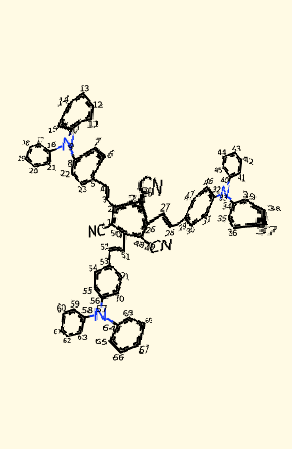 N#Cc1c(C=Cc2ccc(N(c3ccccc3)c3ccccc3)cc2)c(C#N)c(C=Cc2ccc(N(c3ccccc3)c3ccccc3)cc2)c(C#N)c1C=Cc1ccc(N(c2ccccc2)c2ccccc2)cc1